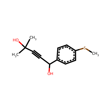 CSc1ccc(C(O)C#CC(C)(C)O)cc1